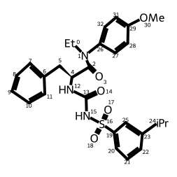 CCN(C(=O)[C@H](Cc1ccccc1)NC(=O)NS(=O)(=O)c1cccc(C(C)C)c1)c1ccc(OC)cc1